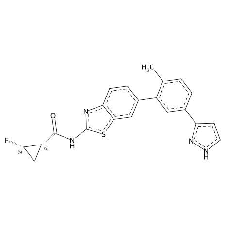 Cc1ccc(-c2cc[nH]n2)cc1-c1ccc2nc(NC(=O)[C@@H]3C[C@@H]3F)sc2c1